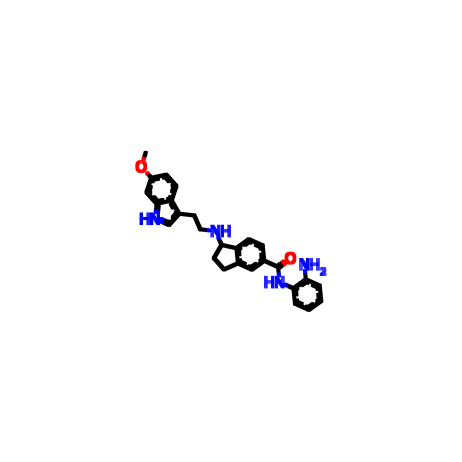 COc1ccc2c(CCNC3CCc4cc(C(=O)Nc5ccccc5N)ccc43)c[nH]c2c1